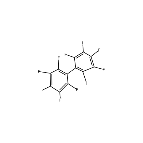 Cc1c(F)c(F)c(-c2c(I)c(F)c(F)c(I)c2I)c(F)c1F